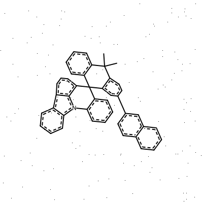 CC1(C)c2ccccc2C2(c3ccccc3-n3c4ccccc4c4cccc2c43)c2cc(-c3ccc4ccccc4c3)ccc21